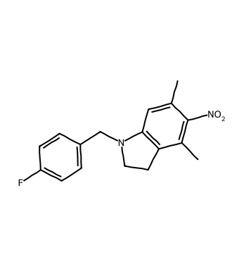 Cc1cc2c(c(C)c1[N+](=O)[O-])CCN2Cc1ccc(F)cc1